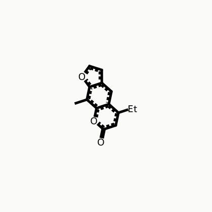 CCc1cc(=O)oc2c(C)c3occc3cc12